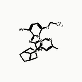 Cc1cc(N2CC3CCC(C2)C3Nc2nc3c(C(C)C)ccc(OCC(F)(F)F)n3n2)ncn1